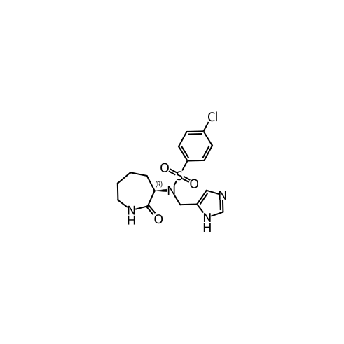 O=C1NCCCC[C@H]1N(Cc1cnc[nH]1)S(=O)(=O)c1ccc(Cl)cc1